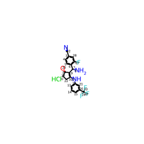 Cl.N#Cc1ccc(C(N)C2=C(Nc3cccc(C(F)(F)F)c3)CCC2=O)c(F)c1